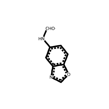 O=[C]Nc1ccc2ocnc2c1